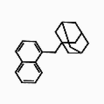 [CH](c1cccc2ccccc12)C12CC3CC(CC(C3)C1)C2